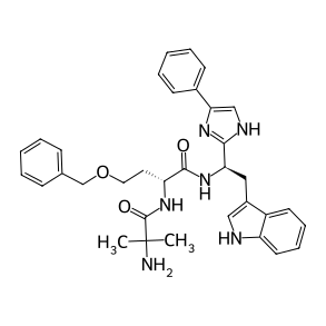 CC(C)(N)C(=O)N[C@H](CCOCc1ccccc1)C(=O)N[C@H](Cc1c[nH]c2ccccc12)c1nc(-c2ccccc2)c[nH]1